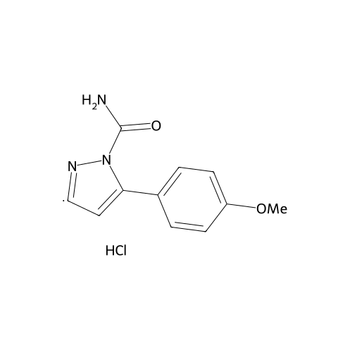 COc1ccc(-c2c[c]nn2C(N)=O)cc1.Cl